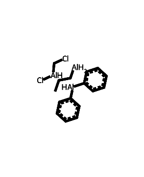 CC[CH2][AlH2].Cl[CH2][AlH][Cl].c1cc[c]([AlH][c]2ccccc2)cc1